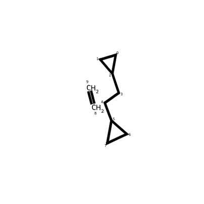 C1CC1CCC1CC1.C=C